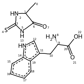 CC1NC(=S)NC1=O.N[C@@H](Cc1c[nH]c2ccccc12)C(=O)O